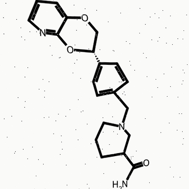 NC(=O)C1CCCN(Cc2ccc([C@H]3COc4cccnc4O3)cc2)C1